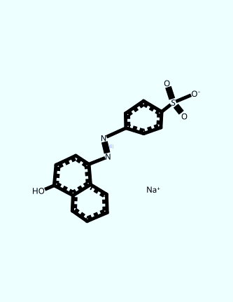 O=S(=O)([O-])c1ccc(/N=N/c2ccc(O)c3ccccc23)cc1.[Na+]